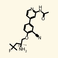 CC(=O)Nc1cc(-c2ccc(OC[C@@](C)(N)CC(C)(C)F)c(C#N)c2)ccn1